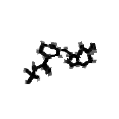 CC(C)(C)OC(=O)N1CCO[C@@H](Cn2ncc3cnc(Cl)nc32)C1